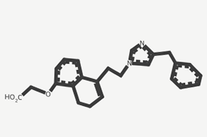 O=C(O)COc1cccc2c1CCC=C2CCn1cnc(Cc2ccccc2)c1